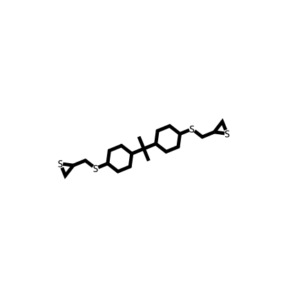 CC(C)(C1CCC(SCC2CS2)CC1)C1CCC(SCC2CS2)CC1